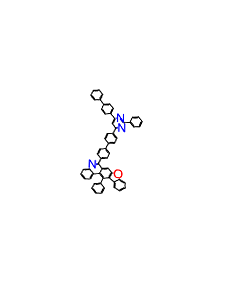 c1ccc(-c2ccc(-c3cc(-c4ccc(-c5ccc(-c6nc7ccccc7c7c(-c8ccccc8)c8c(cc67)oc6ccccc68)cc5)cc4)nc(-c4ccccc4)n3)cc2)cc1